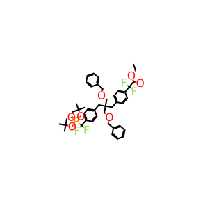 CCOC(=O)C(F)(F)c1ccc(CC(COCc2ccccc2)(COCc2ccccc2)Cc2ccc(C(F)(F)P(=O)(OC(C)(C)C)OC(C)(C)C)cc2)cc1